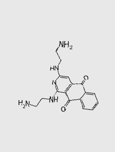 NCCNc1cc2c(c(NCCN)n1)C(=O)c1ccccc1C2=O